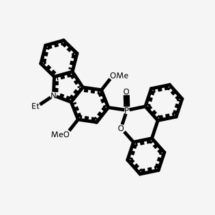 CCn1c2ccccc2c2c(OC)c(P3(=O)Oc4ccccc4-c4ccccc43)cc(OC)c21